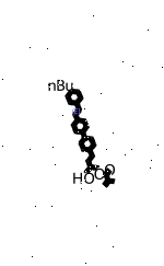 C=C(C)C(=O)OCC(CO)CCC1CCC(C2CCC(/C=C/C3CCC(CCCC)CC3)CC2)CC1